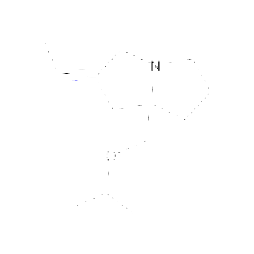 C/C=C1\CN2CCCC2(COC(C)C)C1